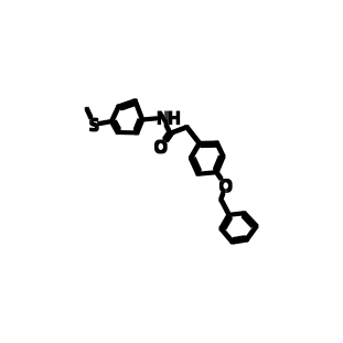 CSc1ccc(NC(=O)Cc2ccc(OCc3ccccc3)cc2)cc1